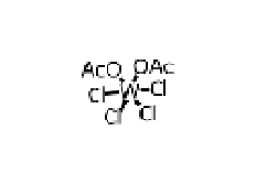 CC(=O)[O][W]([Cl])([Cl])([Cl])([Cl])[O]C(C)=O